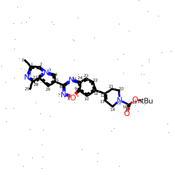 Cc1cn2cc(-c3n[o+]c4cc(C5=CCN(C(=O)OC(C)(C)C)CC5)ccc4n3)cc2c(C)n1